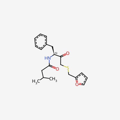 CC(C)CC(=O)N[C@@H](Cc1ccccc1)C(=O)CSCc1ccco1